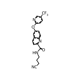 N#CCCCNC(=O)c1ccc2cc(Oc3ccc(C(F)(F)F)cn3)ccc2n1